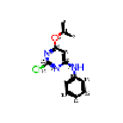 CC(C)Oc1cc(Nc2ccccc2)nc(Cl)n1